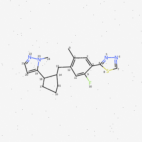 Cc1cc(-c2nncs2)c(F)cc1CC1CCCC1c1ccnn1C